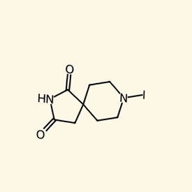 O=C1CC2(CCN(I)CC2)C(=O)N1